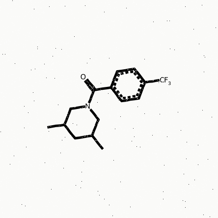 CC1CC(C)CN(C(=O)c2ccc(C(F)(F)F)cc2)C1